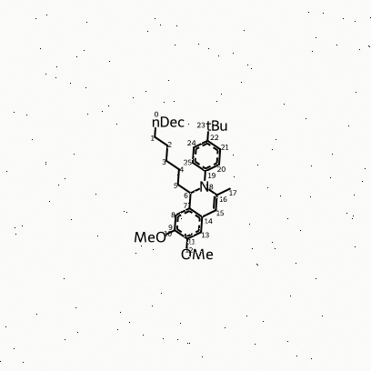 CCCCCCCCCCCCCCCC1c2cc(OC)c(OC)cc2C=C(C)N1c1ccc(C(C)(C)C)cc1